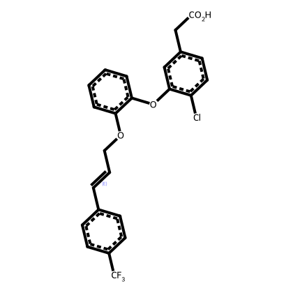 O=C(O)Cc1ccc(Cl)c(Oc2ccccc2OC/C=C/c2ccc(C(F)(F)F)cc2)c1